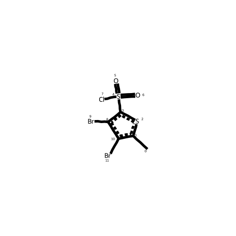 Cc1sc(S(=O)(=O)Cl)c(Br)c1Br